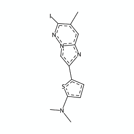 Cc1cc2nc(-c3ccc(N(C)C)s3)cn2nc1I